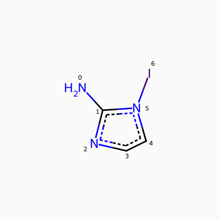 Nc1nccn1I